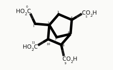 O=C(O)CC12CC(C(=O)O)C(C1)C(C(=O)O)C2C(=O)O